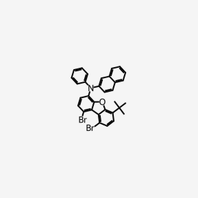 CC(C)(C)c1ccc(Br)c2c1oc1c(N(c3ccccc3)c3ccc4ccccc4c3)ccc(Br)c12